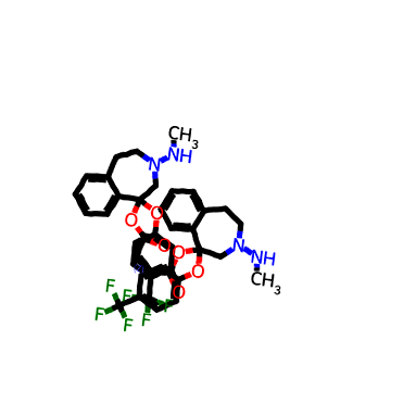 CNN1CCc2ccccc2C(OC(=O)/C=C\C(=O)OC2(Oc3ccc(C(F)(F)F)cc3)CN(NC)CCc3ccccc32)(Oc2ccc(C(F)(F)F)cc2)C1